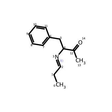 CC/C=N/C(Cc1ccccc1)C(C)=O